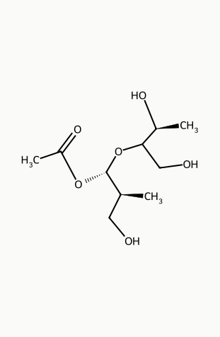 CC(=O)O[C@H](OC(CO)[C@H](C)O)[C@@H](C)CO